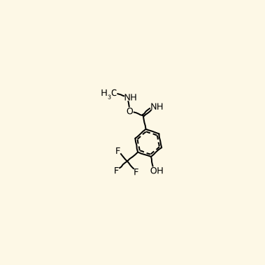 CNOC(=N)c1ccc(O)c(C(F)(F)F)c1